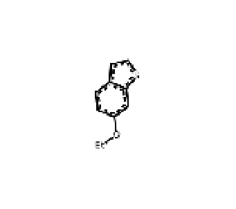 CCOc1ccc2ccsc2c1